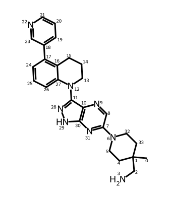 CC1(CN)CCN(c2cnc3c(N4CCCc5c(-c6cccnc6)cccc54)n[nH]c3n2)CC1